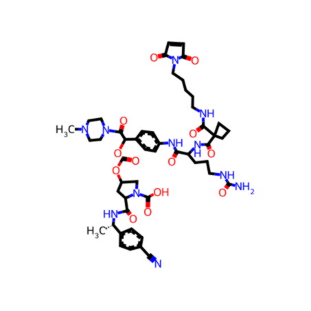 C[C@H](NC(=O)C1CC(OC(=O)OC(C(=O)N2CCN(C)CC2)c2ccc(NC(=O)C(CCCNC(N)=O)NC(=O)C3(C(=O)NCCCCCN4C(=O)C=CC4=O)CCC3)cc2)CN1C(=O)O)c1ccc(C#N)cc1